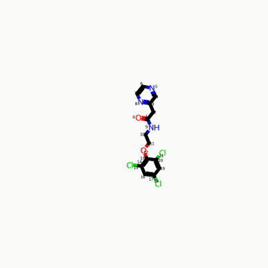 O=C(Cc1cnccn1)NCCOc1c(Cl)cc(Cl)cc1Cl